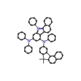 CC1(C)c2ccc(N(c3ccccc3)c3cc(N(c4ccccc4)c4ccccc4)cc4c3c3ccc5ccccc5c3n4-c3ccccc3)cc2-c2c1ccc1ccccc21